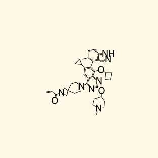 C=CC(=O)N1CC2(CCN(c3nc(OC4CCN(C)CC4)nc4c(OC5CCC5)c(-c5c(C)ccc6[nH]ncc56)c(C5CC5)cc34)CC2)C1